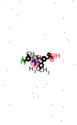 COc1ccc(CC2(C(=O)O)CCC2)cc1C1=C(CN2C(=O)O[C@H](c3cc(C)cc(C(F)(F)F)c3)[C@@H]2C)CC(C)(C)CC1